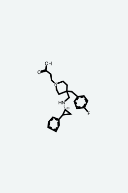 O=C(O)CCN1CCC(CN[C@@H]2CC2c2ccccc2)(Cc2ccc(F)cc2)CC1